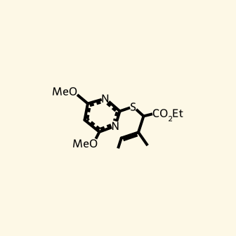 CC=C(C)C(Sc1nc(OC)cc(OC)n1)C(=O)OCC